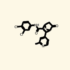 Cc1cc(C2C3OC(CC3=O)C2C(=O)Nc2ccc(Cl)c(Cl)c2)ccn1